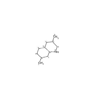 CC1CNC2CC(C)CCC2C1